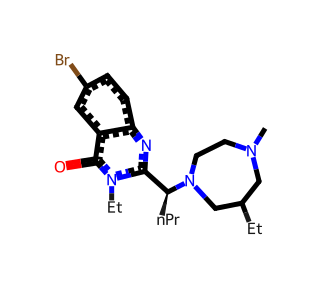 CCC[C@@H](c1nc2ccc(Br)cc2c(=O)n1CC)N1CCN(C)CC(CC)C1